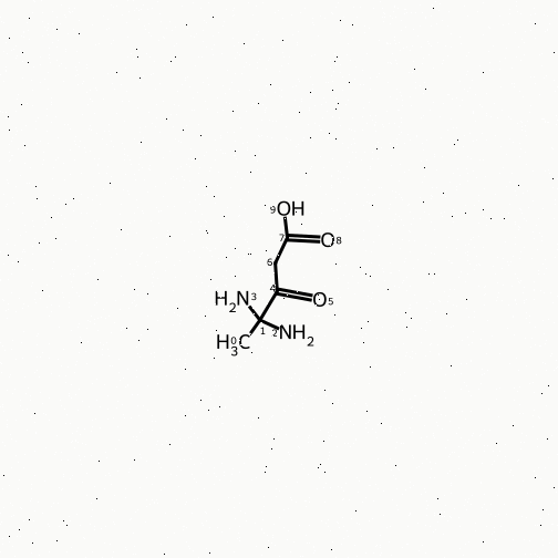 CC(N)(N)C(=O)CC(=O)O